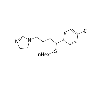 CCCCCCSC(CCCn1ccnc1)c1ccc(Cl)cc1